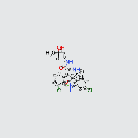 CCC1(CC)N[C@@H](C(=O)NC2CC(C)(O)C2)[C@H](c2cccc(Cl)c2F)[C@]12C(=O)Nc1cc(Cl)ccc12